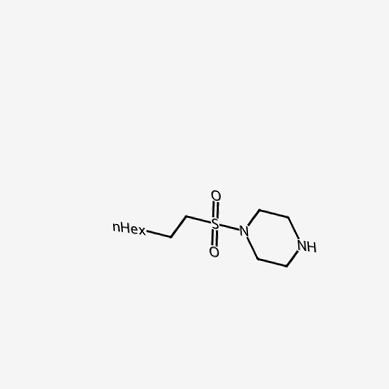 CCCCCCCCS(=O)(=O)N1CCNCC1